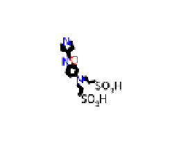 O=S(=O)(O)CCCN(CCCS(=O)(=O)O)c1ccc2nc(-c3ccncc3)oc2c1